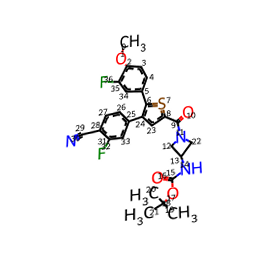 COc1ccc(-c2sc(C(=O)N3CC(NC(=O)OC(C)(C)C)C3)cc2-c2ccc(C#N)c(F)c2)cc1F